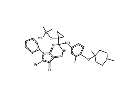 Cc1cc(NC2(C3(O[Si](C)(C)C(C)(C)C)CC3)N=c3c(c(=O)n(C(C)C)n3-c3ccccn3)=CN2)ccc1OC1(C)CCN(C)CC1